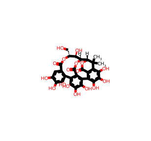 CC1(C)c2c(O)c(O)c(O)c3c2C(=O)O[C@@H]1[C@H]1OC(=O)c2c(c(O)c(O)c(O)c2-3)-c2c(cc(O)c(O)c2O)C(=O)O[C@H](CO)[C@H]1O